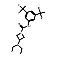 CCN(CC)C1CN(C(=O)Nc2cc(C(F)(F)F)cc(C(F)(F)F)c2)C1